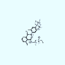 CCS(=O)(=O)C[C@H](C)NC(=O)c1c(I)cccc1C(=O)Nc1ccc(C(F)(C(F)(F)F)C(F)(F)Br)cc1C